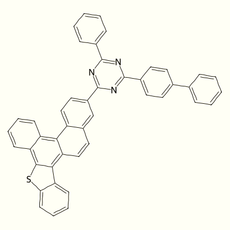 c1ccc(-c2ccc(-c3nc(-c4ccccc4)nc(-c4ccc5c(ccc6c5c5ccccc5c5sc7ccccc7c65)c4)n3)cc2)cc1